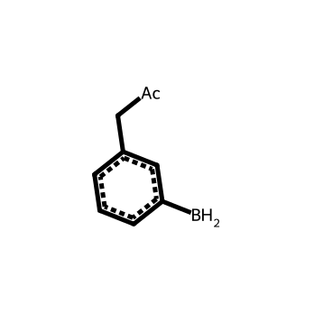 Bc1cccc(CC(C)=O)c1